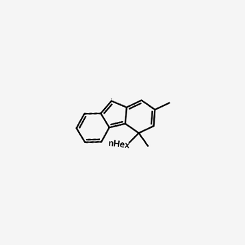 CCCCCCC1(C)C=C(C)C=C2[C]=c3ccccc3=C21